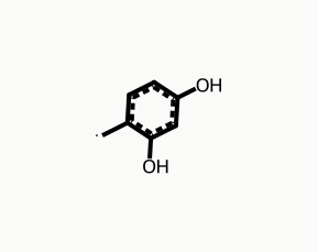 [CH2]c1ccc(O)cc1O